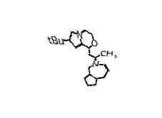 CC(CC1OCCN2CC(C(C)(C)C)CC12)N1CCCC2CCCC2C1